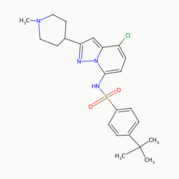 CN1CCC(c2cc3c(Cl)ccc(NS(=O)(=O)c4ccc(C(C)(C)C)cc4)n3n2)CC1